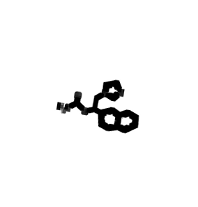 CC(=O)OC(Cn1ccnc1)c1ccc2ccccc2c1